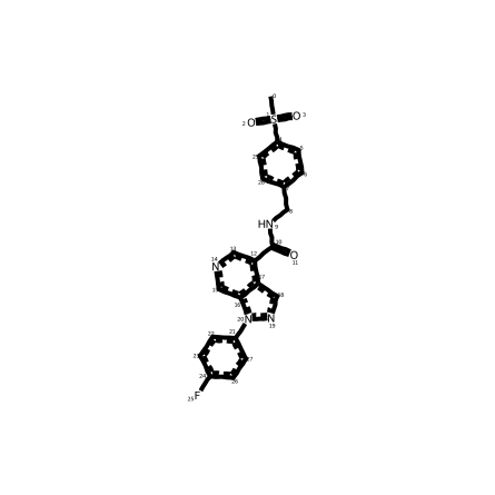 CS(=O)(=O)c1ccc(CNC(=O)c2cncc3c2cnn3-c2ccc(F)cc2)cc1